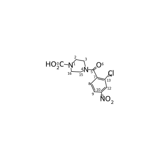 O=C(O)N1CCN(C(=O)c2ccc([N+](=O)[O-])cc2Cl)CC1